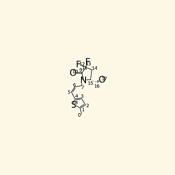 Cc1ccc(/C=C\CN2C(=O)C(F)(F)C[C@@H]2C=O)s1